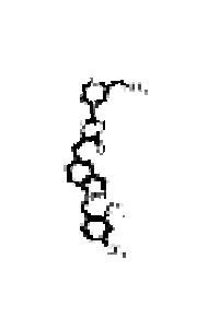 NCC1CN(C2=NC(=O)C(=Cc3ccc4c(cnn4Cc4ccc(C(F)(F)F)cc4C(F)(F)F)c3)S2)CCO1